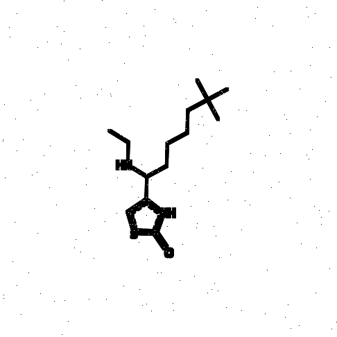 CCNC(CCCCC(C)(C)C)c1csc(=O)[nH]1